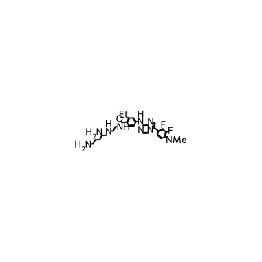 CCc1cc(Nc2nccn3c(-c4ccc(NC)c(F)c4F)cnc23)ccc1C(=O)NCCNCC(N)CCCN